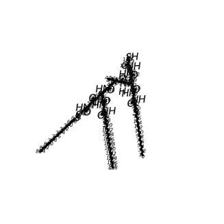 CCCCCCCCCCCCCCCCCCCSSCCC(=O)NCCNC(=O)CCN(CCNC(=O)CCN(CCC)CCC(=O)NCCN(CCC(=O)NCCNC(=O)CCSSCCCCCCCCCCCCCCCCCCC)CCC(=O)NCCNC(=O)CCSSCCCCCCCCCCCCCCCCCCC)CCC(=O)NCCNC(=O)CCS